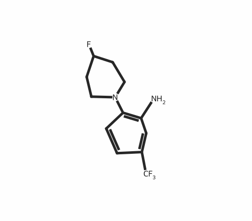 Nc1cc(C(F)(F)F)ccc1N1CCC(F)CC1